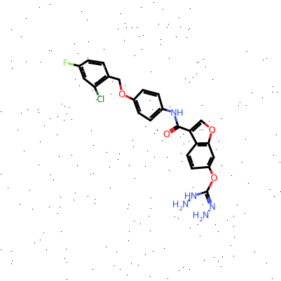 N/N=C(\NN)Oc1ccc2c(C(=O)Nc3ccc(OCc4ccc(F)cc4Cl)cc3)coc2c1